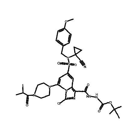 COc1ccc(CN(C2(C#N)CC2)S(=O)(=O)c2cc(N3CCN(C(=O)C(C)C)CC3)n3c(Cl)nc(C(=O)NNC(=O)OC(C)(C)C)c3c2)cc1